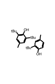 Cc1cc(C(C)(C)C)c(O)c(C(C)(C)C)c1.Cc1ccc(O)c(C(C)(C)C)c1